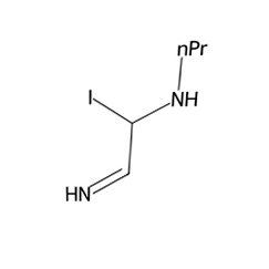 CCCNC(I)C=N